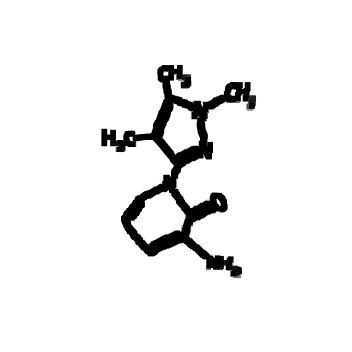 Cc1c(-n2cccc(N)c2=O)nn(C)c1C